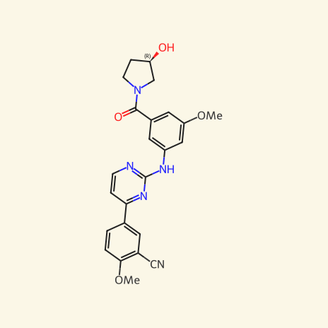 COc1cc(Nc2nccc(-c3ccc(OC)c(C#N)c3)n2)cc(C(=O)N2CC[C@@H](O)C2)c1